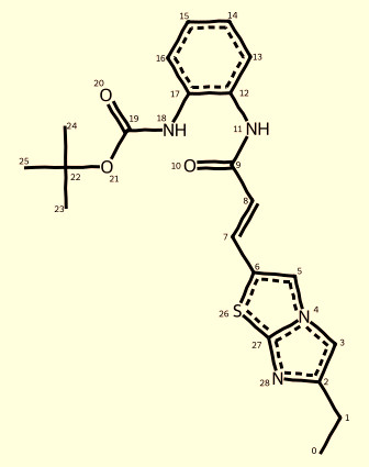 CCc1cn2cc(/C=C/C(=O)Nc3ccccc3NC(=O)OC(C)(C)C)sc2n1